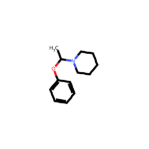 CC(Oc1ccccc1)N1CC[CH]CC1